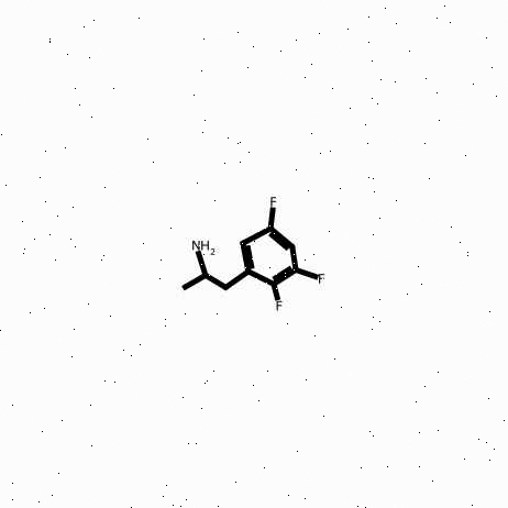 CC(N)Cc1cc(F)cc(F)c1F